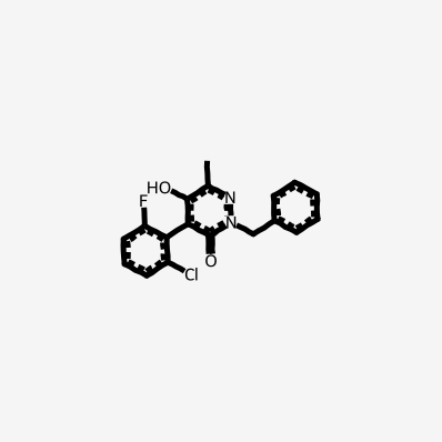 Cc1nn(Cc2ccccc2)c(=O)c(-c2c(F)cccc2Cl)c1O